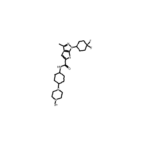 Cc1nn(C2CCC(F)(F)CC2)c2sc(C(=O)NC3CCC(N4CCN(C(C)C)CC4)CC3)cc12